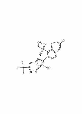 CCS(=O)(=O)c1c(-c2nc3cc(C(F)(F)F)nnc3n2C)ncc2cc(Cl)ccc12